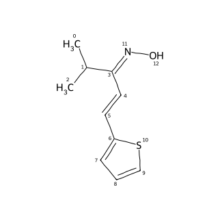 CC(C)C(/C=C/c1cccs1)=N/O